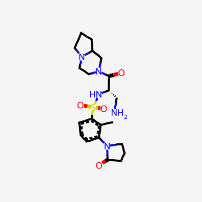 Cc1c(N2CCCC2=O)cccc1S(=O)(=O)N[C@@H](CN)C(=O)N1CCN2CCCC2C1